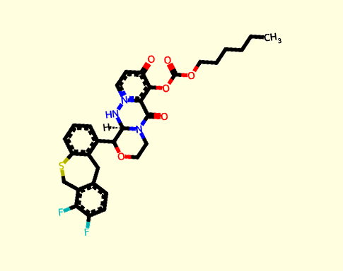 CCCCCCOC(=O)Oc1c2n(ccc1=O)N[C@@H]1C(c3cccc4c3Cc3ccc(F)c(F)c3CS4)OCCN1C2=O